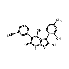 Cc1ccc(-c2c(Cl)sc3[nH]c(=O)c(-c4cccc(C#N)c4)c(O)c23)c(O)c1